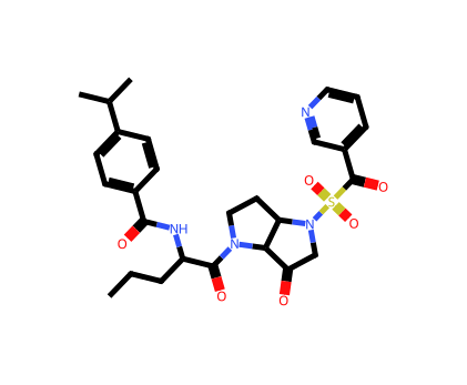 CCCC(NC(=O)c1ccc(C(C)C)cc1)C(=O)N1CCC2C1C(=O)CN2S(=O)(=O)C(=O)c1cccnc1